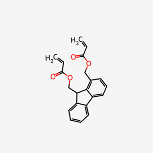 C=CC(=O)OCc1cccc2c1C(COC(=O)C=C)c1ccccc1-2